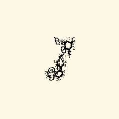 Fc1cc(F)c(OCCN2CCN(c3cccc4c3OCCO4)CC2)c(Br)c1